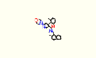 Cc1ccccc1-c1cc(N2CCOCC2)ncc1C(=O)N(C)Cc1c(C)ccc2ccccc12